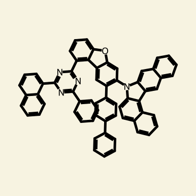 c1ccc(-c2ccc(-c3cc4c(cc3-n3c5cc6ccccc6cc5c5c6ccccc6ccc53)oc3cccc(-c5nc(-c6ccccc6)nc(-c6cccc7ccccc67)n5)c34)cc2)cc1